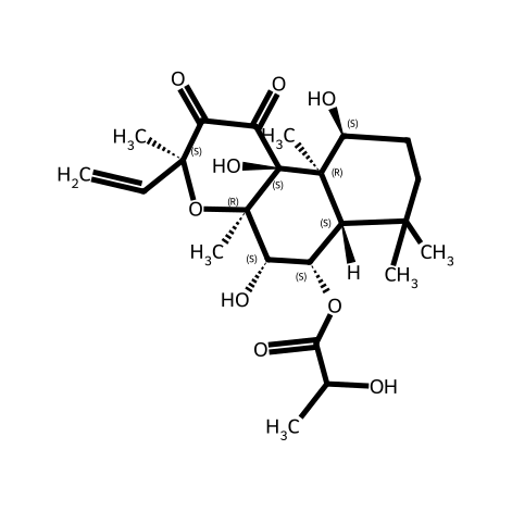 C=C[C@]1(C)O[C@]2(C)[C@@H](O)[C@@H](OC(=O)C(C)O)[C@H]3C(C)(C)CC[C@H](O)[C@]3(C)[C@@]2(O)C(=O)C1=O